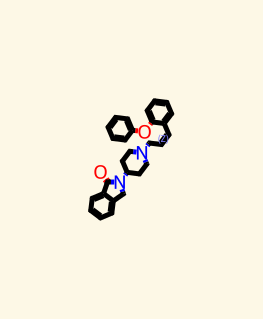 O=C1c2ccccc2CN1C1CCN(C/C=C\c2ccccc2Oc2ccccc2)CC1